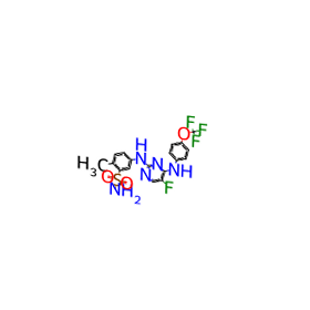 Cc1ccc(Nc2ncc(F)c(Nc3ccc(OC(F)(F)F)cc3)n2)cc1S(N)(=O)=O